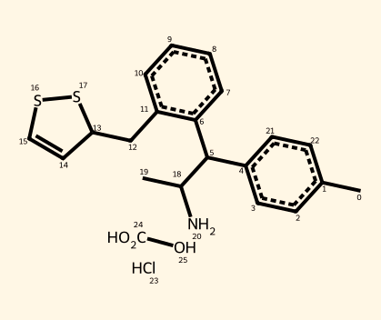 Cc1ccc(C(c2ccccc2CC2C=CSS2)C(C)N)cc1.Cl.O=C(O)O